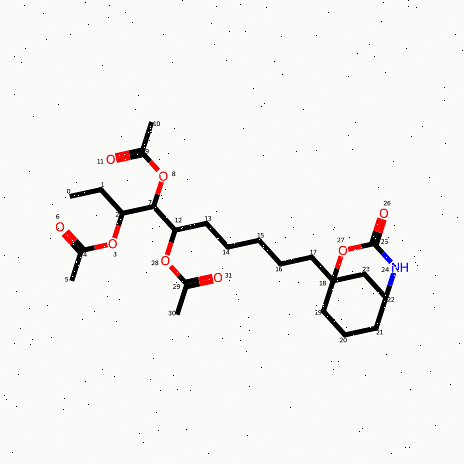 CCC(OC(C)=O)C(OC(C)=O)C(CCCCCC12CCCC(C1)NC(=O)O2)OC(C)=O